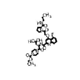 CCCNC(=O)[C@@H]1CCCN1C(=O)COc1cc(C(=O)N[C@@H](CC(=O)O)C(=O)N2CCN(C(=O)OCC)CC2)nc2cccc(F)c12